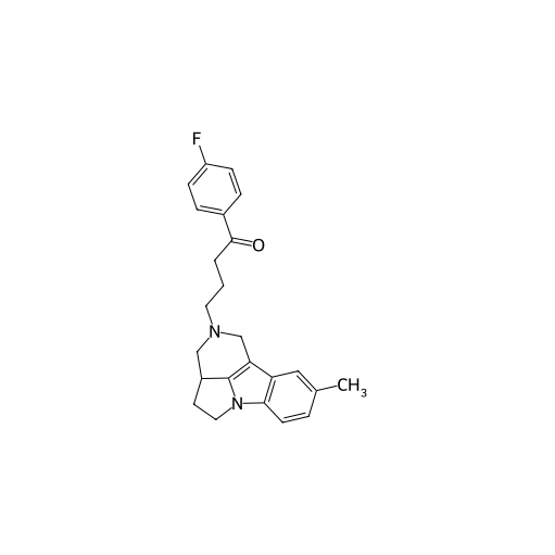 Cc1ccc2c(c1)c1c3n2CCC3CN(CCCC(=O)c2ccc(F)cc2)C1